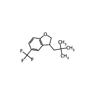 CC(C)(C)CC1COc2ccc(C(F)(F)F)cc21